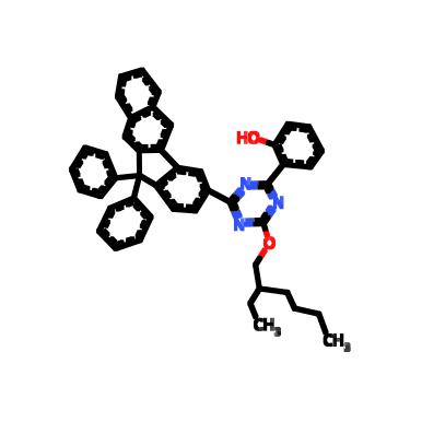 CCCCC(CC)COc1nc(-c2ccc3c(c2)-c2cc4ccccc4cc2C3(c2ccccc2)c2ccccc2)nc(-c2ccccc2O)n1